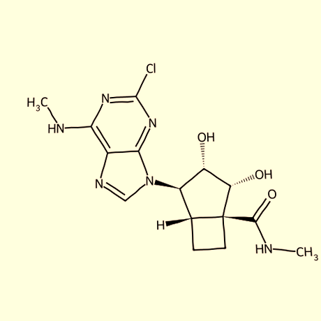 CNC(=O)[C@@]12CC[C@@H]1[C@@H](n1cnc3c(NC)nc(Cl)nc31)[C@H](O)[C@@H]2O